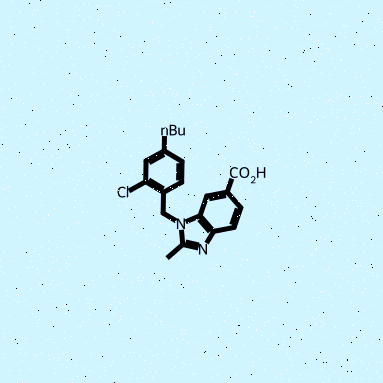 CCCCc1ccc(Cn2c(C)nc3ccc(C(=O)O)cc32)c(Cl)c1